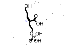 O=C(O)/C(=C\CCO)CCOP(=O)(O)O